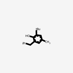 Cc1cc(CC(C)C)c(O)c(C(C)(C)C)c1